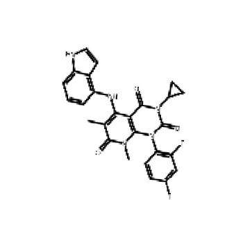 Cc1c(Nc2cccc3[nH]ccc23)c2c(=O)n(C3CC3)c(=O)n(-c3ccc(I)cc3F)c2n(C)c1=O